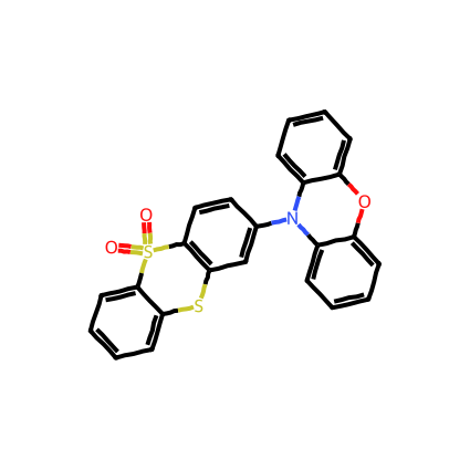 O=S1(=O)c2ccccc2Sc2cc(N3c4ccccc4Oc4ccccc43)ccc21